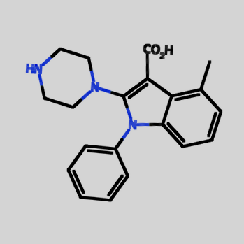 Cc1cccc2c1c(C(=O)O)c(N1CCNCC1)n2-c1ccccc1